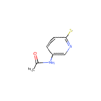 CC(=O)Nc1ccc([S])nc1